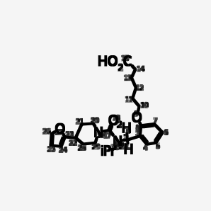 [2H]C([2H])(c1ccccc1OCCCCCC(=O)O)N(C(=O)N1CCC(c2ccco2)CC1)C(C)C